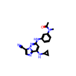 CC(=O)N(C)c1cccc(Nc2cc(NC3CC3)c3ncc(C#N)n3n2)c1